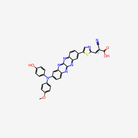 COc1ccc(N(c2ccc(O)cc2)c2ccc3nc4nc5cc(-c6cnc(/C=C(\C#N)C(=O)O)s6)ccc5nc4nc3c2)cc1